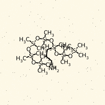 C[Si](C)(C)O[Si](C)(C)O[Si](C)(C)O[Si](C)(C)O[Si](C)(CCCN)O[Si](C)(C)O[Si](C)(C)C